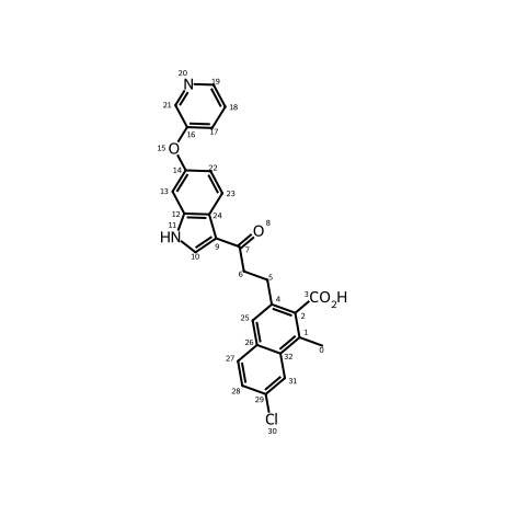 Cc1c(C(=O)O)c(CCC(=O)c2c[nH]c3cc(Oc4cccnc4)ccc23)cc2ccc(Cl)cc12